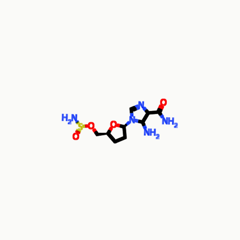 NC(=O)C1N=CN([C@H]2CC[C@@H](COS(N)=O)O2)C1N